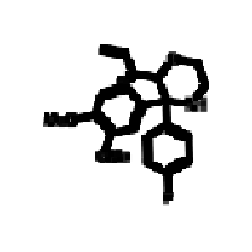 C=CC(=O)C1OCCNC1(c1ccc(F)cc1)c1ccc(OC)c(OC)c1